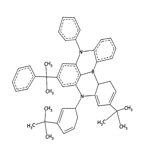 CC(C)(C)C1=CCC2B3c4ccccc4N(c4ccccc4)c4cc(C(C)(C)c5ccccc5)cc(c43)N(C3C=C(C(C)(C)C)C=CC3)C2=C1